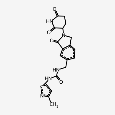 Cc1cc(NC(=O)NCc2ccc3c(c2)C(=O)N(C2CCC(=O)NC2=O)C3)sn1